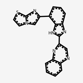 c1ccc2nc(-c3nc4cccc(-c5cn6ccsc6n5)c4[nH]3)cnc2c1